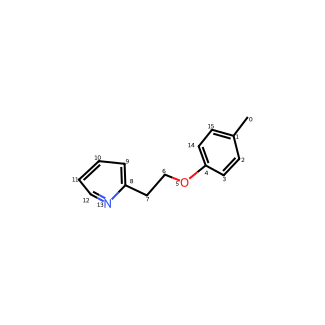 Cc1ccc(OCCc2ccccn2)cc1